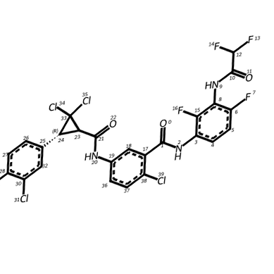 O=C(Nc1ccc(F)c(NC(=O)C(F)F)c1F)c1cc(NC(=O)C2[C@H](c3ccc(Cl)c(Cl)c3)C2(Cl)Cl)ccc1Cl